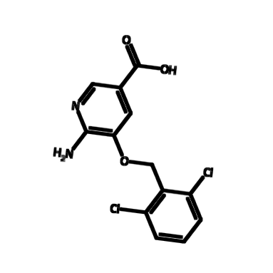 Nc1ncc(C(=O)O)cc1OCc1c(Cl)cccc1Cl